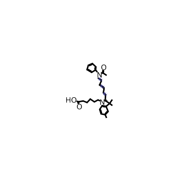 CC(=O)N(/C=C/C=C/C=C/C1=[N+](CCCCCC(=O)O)c2ccc(C)cc2C1(C)C)c1ccccc1